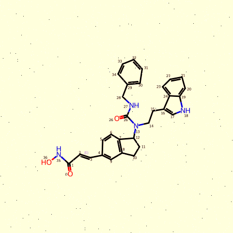 O=C(/C=C/c1ccc2c(c1)CCC2N(CCc1c[nH]c2ccccc12)C(=O)NCc1ccccc1)NO